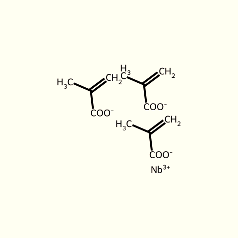 C=C(C)C(=O)[O-].C=C(C)C(=O)[O-].C=C(C)C(=O)[O-].[Nb+3]